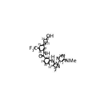 CNc1cc(-n2nc(C)cc2Nc2cc(C(=O)Nc3cc(N4CC(O)C4)cc(C(F)(F)F)c3)ccc2C)ncn1